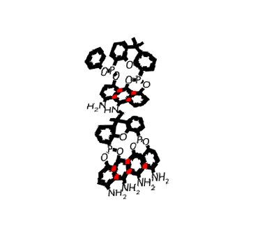 CC1(C)c2cccc(P(Oc3ccccc3)Oc3ccc(N)cc3)c2Oc2c(P(Oc3ccccc3)Oc3ccc(NCC4(C)c5cccc(P(Oc6ccc(N)cc6)Oc6ccc(N)cc6)c5Oc5c(P(Oc6ccc(N)cc6)Oc6ccc(N)cc6)cccc54)cc3)cccc21